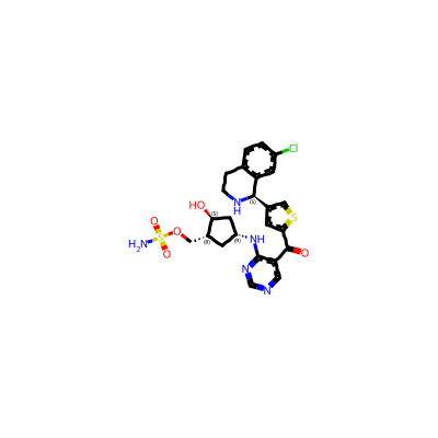 NS(=O)(=O)OC[C@H]1C[C@@H](Nc2ncncc2C(=O)c2cc([C@H]3NCCc4ccc(Cl)cc43)cs2)C[C@@H]1O